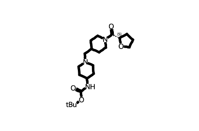 CC(C)(C)OC(=O)NC1CCN(CC2CCN(C(=O)[C@@H]3CCCO3)CC2)CC1